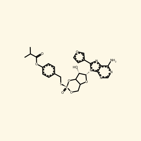 CC(C)C(=O)Oc1ccc(CS[P@]2(=O)OCC3O[C@@H](n4c(-c5ccoc5)nc5c(N)ncnc54)[C@@H](O)C3O2)cc1